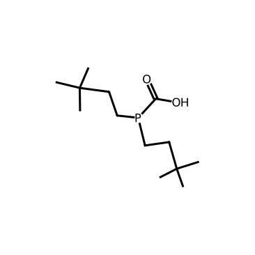 CC(C)(C)CCP(CCC(C)(C)C)C(=O)O